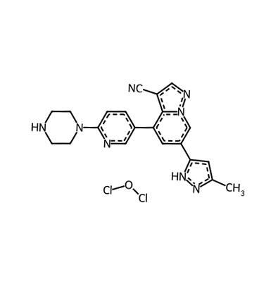 Cc1cc(-c2cc(-c3ccc(N4CCNCC4)nc3)c3c(C#N)cnn3c2)[nH]n1.ClOCl